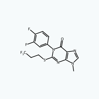 Cn1cnc2c(=O)n(-c3ccc(F)c(F)c3)c(SCCC(F)(F)F)nc21